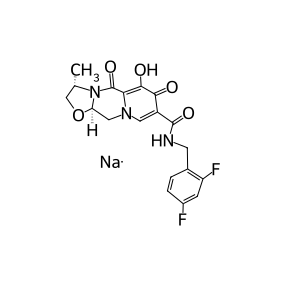 C[C@H]1CO[C@@H]2Cn3cc(C(=O)NCc4ccc(F)cc4F)c(=O)c(O)c3C(=O)N12.[Na]